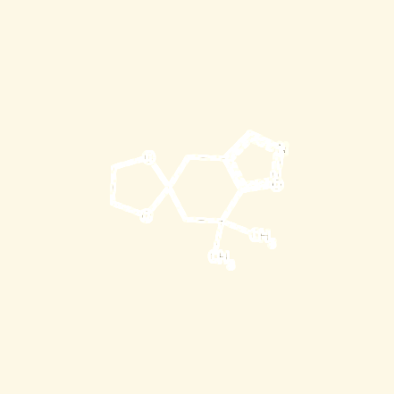 CC1(C)CC2(Cc3cnoc31)OCCO2